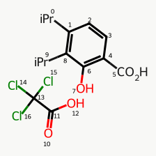 CC(C)c1ccc(C(=O)O)c(O)c1C(C)C.O=C(O)C(Cl)(Cl)Cl